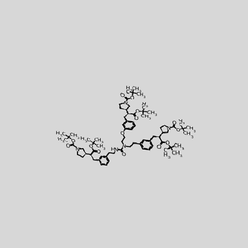 CC(C)(C)OC(=O)[C@@H](Cc1cccc(CCNC(=O)N(CCOc2cccc(C[C@H](C(=O)OC(C)(C)C)[C@H]3CCN(C(=O)OC(C)(C)C)C3)c2)CCc2cccc(C[C@H](C(=O)OC(C)(C)C)[C@H]3CCN(C(=O)OC(C)(C)C)C3)c2)c1)[C@H]1CCN(C(=O)OC(C)(C)C)C1